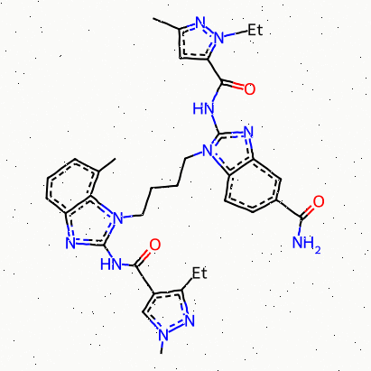 CCc1nn(C)cc1C(=O)Nc1nc2cccc(C)c2n1CCCCn1c(NC(=O)c2cc(C)nn2CC)nc2cc(C(N)=O)ccc21